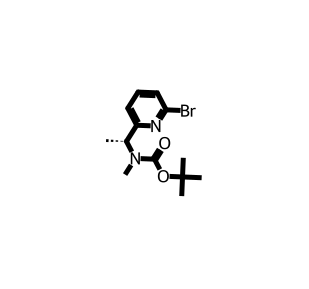 C[C@H](c1cccc(Br)n1)N(C)C(=O)OC(C)(C)C